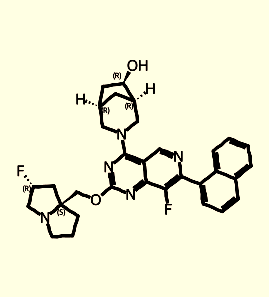 O[C@@H]1C[C@H]2C[C@@H]1CN(c1nc(OC[C@@]34CCCN3C[C@H](F)C4)nc3c(F)c(-c4cccc5ccccc45)ncc13)C2